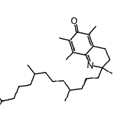 CC1=C(C)C2=NC(C)(CCCC(C)CCCC(C)CCCC(C)C)CCC2=C(C)C1=O